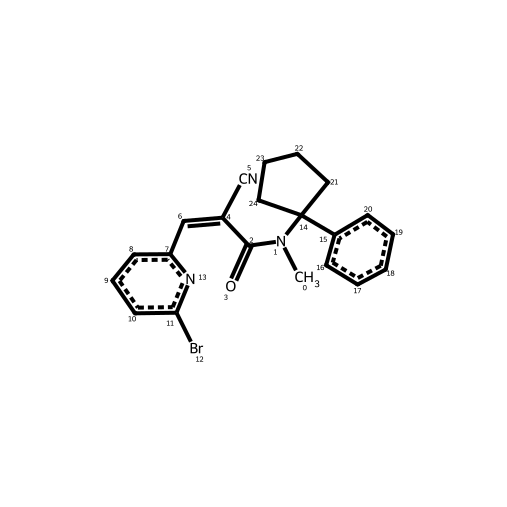 CN(C(=O)C(C#N)=Cc1cccc(Br)n1)C1(c2ccccc2)CCCC1